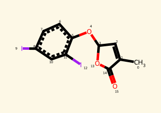 CC1=CC(Oc2ccc(I)cc2I)OC1=O